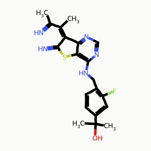 CC(=N)/C(C)=C1\C(=N)Sc2c(NCc3ccc(C(C)(C)O)cc3F)ncnc21